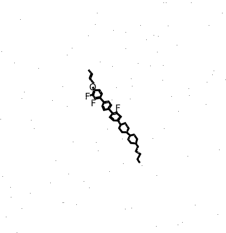 C/C=C/COc1ccc(-c2ccc(-c3ccc(C4CCC(C5CCC(CCCCC)CC5)CC4)cc3F)cc2)c(F)c1F